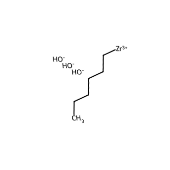 CCCCC[CH2][Zr+3].[OH-].[OH-].[OH-]